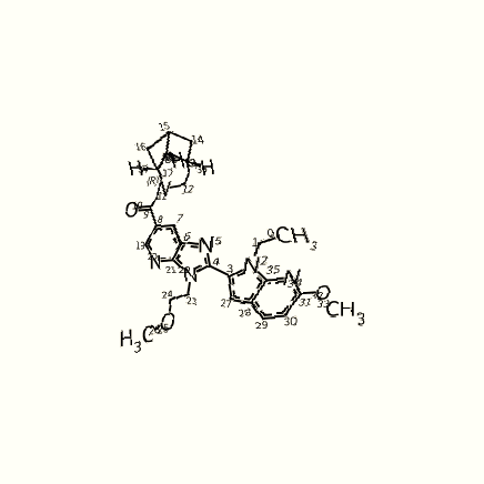 CCn1c(-c2nc3cc(C(=O)N4C[C@H]5CC6C[C@@H]4[C@H]65)cnc3n2CCOC)cc2ccc(OC)nc21